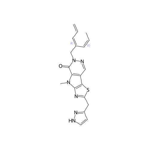 C=C/C=C(\C=C/C)Cn1ncc2c3sc(Cc4cc[nH]n4)nc3n(C)c2c1=O